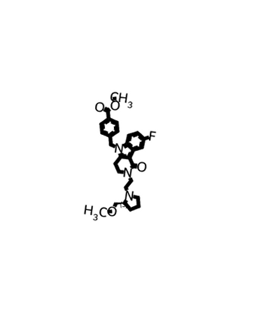 COC[C@@H]1CCCN1CCN1CCc2c(c3cc(F)ccc3n2Cc2ccc(C(=O)OC)cc2)C1=O